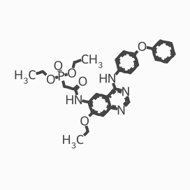 CCOc1cc2ncnc(Nc3ccc(Oc4ccccc4)cc3)c2cc1NC(=O)CP(=O)(OCC)OCC